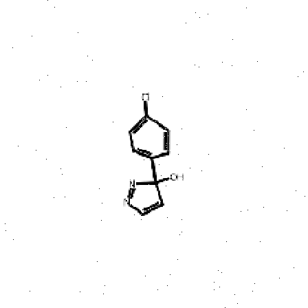 OC1(c2ccc(Cl)cc2)C=CN=N1